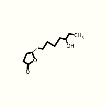 CC[C@@H](O)CCCCC[C@H]1CCC(=O)O1